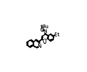 CCc1ccc2oc(-c3cc4ccccc4cn3)cc(=NOC(C)(C)C)c2c1